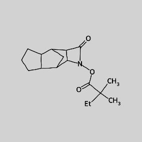 CCC(C)(C)C(=O)ON1C(=O)C2C3CC(C4CCCC43)C21